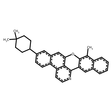 Cc1c2c(cc3ccccc13)-c1nccc3c1c(cc1cc(C4CCC(C)(C)CC4)ccc13)O2